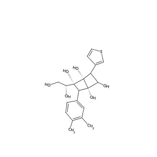 Cc1ccc(C2[C@]3(O)C(O)C(c4ccsc4)[C@]3(O)[C@]2(O)[C@H](O)CO)cc1C